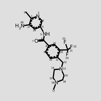 Cc1ncc(NC(=O)c2ccc(CN3CCN(C)CC3)c(C(F)(F)F)c2)cc1N